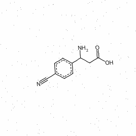 N#Cc1ccc(C(N)CC(=O)O)cc1